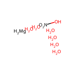 O.O.O.O.O.O.O=[N+]([O-])O.[MgH2]